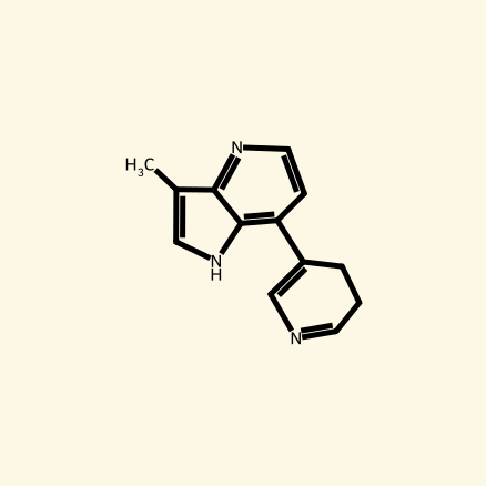 Cc1c[nH]c2c(C3=CN=CCC3)ccnc12